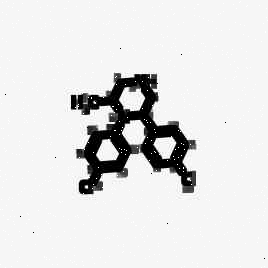 CC1CNCC(c2ccc(Cl)cc2)N1c1ccc(Cl)cc1